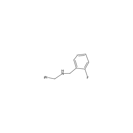 CC(C)CNCc1c[c]ccc1F